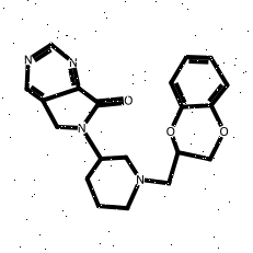 O=C1c2ncncc2CN1C1CCCN(CC2COc3ccccc3O2)C1